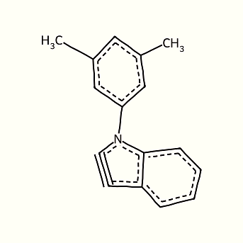 Cc1cc(C)cc(-n2c#cc3ccccc32)c1